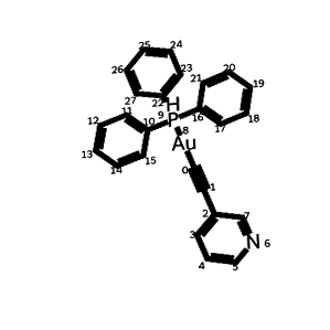 [C](#Cc1cccnc1)[Au][PH](c1ccccc1)(c1ccccc1)c1ccccc1